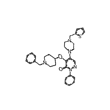 O=c1c(OC2CCN(Cc3ccccc3)CC2)c(N2CCN(Cc3cccs3)CC2)cnn1-c1ccccc1